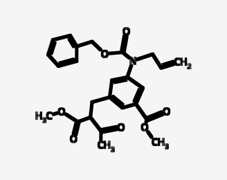 C=CCN(C(=O)OCc1ccccc1)c1cc(CC(C(C)=O)C(=O)OC)cc(C(=O)OC)c1